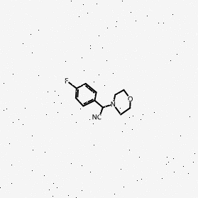 N#CC(c1ccc(F)cc1)N1CCOCC1